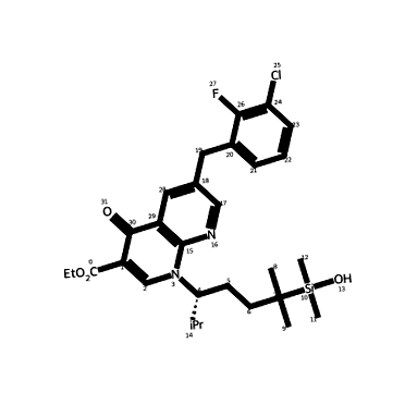 CCOC(=O)c1cn([C@H](CCC(C)(C)[Si](C)(C)O)C(C)C)c2ncc(Cc3cccc(Cl)c3F)cc2c1=O